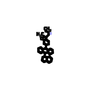 C=C/C=C\c1c(C)oc2cc(-c3c4ccccc4c(-c4cccc5ccccc45)c4ccccc34)ccc12